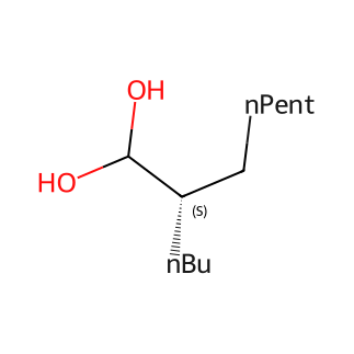 CCCCCC[C@H](CCCC)C(O)O